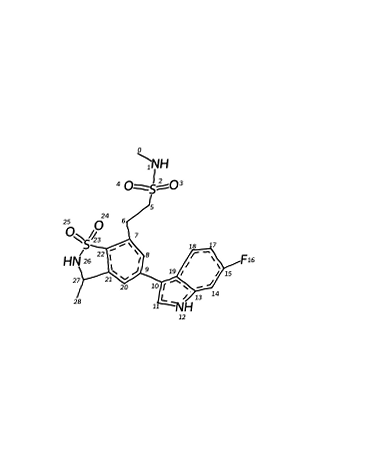 CNS(=O)(=O)CCc1cc(-c2c[nH]c3cc(F)ccc23)cc2c1S(=O)(=O)NC2C